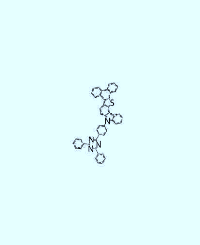 c1ccc(-c2nc(-c3ccccc3)nc(-c3ccc(-n4c5ccccc5c5c6sc7c8ccccc8c8ccccc8c7c6ccc54)cc3)n2)cc1